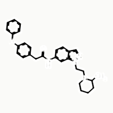 CC1CCCCN1CCn1ncc2ccc(NC(=O)Cc3ccc(Oc4ccccc4)cc3)cc21